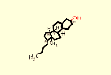 CCCC[C@H]1CC[C@H]2[C@@H]3CCC4=C(CC[C@H](O)C4)[C@H]3CC[C@]12C